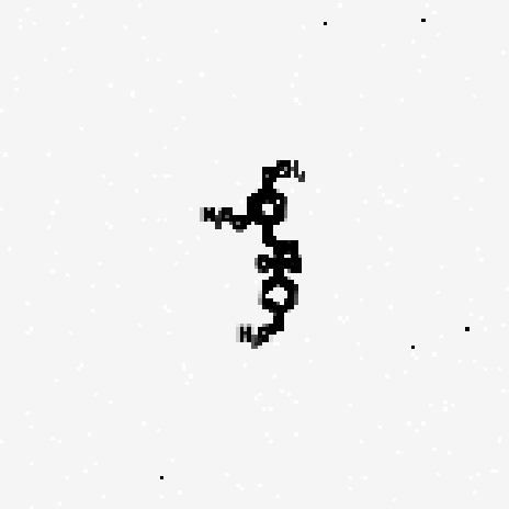 CCN1CCC(S(=O)(=O)NCc2ccc(OC)cc2OC)CC1